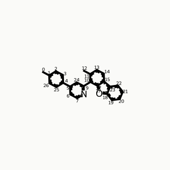 Cc1ccc(-c2ccnc(-c3c(C)ccc4c3oc3ccccc34)c2)cc1